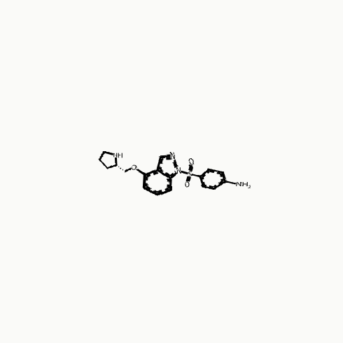 Nc1ccc(S(=O)(=O)n2ncc3c(OC[C@@H]4CCCN4)cccc32)cc1